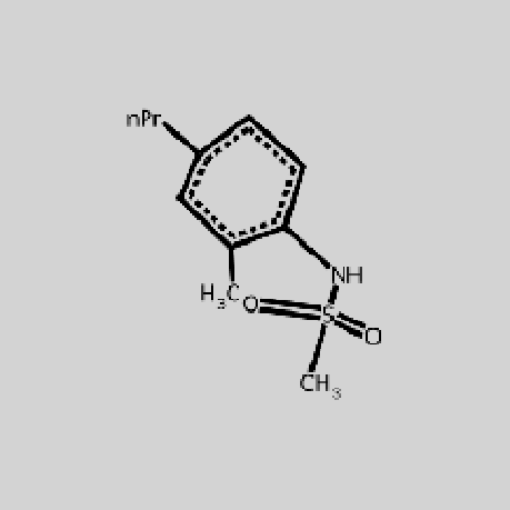 CCCc1ccc(NS(C)(=O)=O)c(C)c1